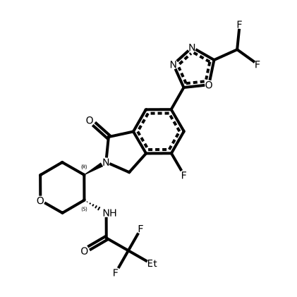 CCC(F)(F)C(=O)N[C@@H]1COCC[C@H]1N1Cc2c(F)cc(-c3nnc(C(F)F)o3)cc2C1=O